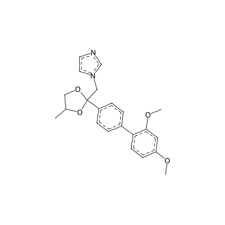 COc1ccc(-c2ccc(C3(Cn4ccnc4)OCC(C)O3)cc2)c(OC)c1